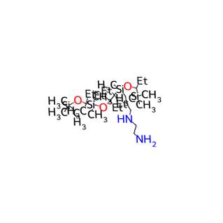 CCC(O[Si](C)(CCCNCCN)C(CC)(CC)C(CC)(CC)O[Si](C)(C)C(C)(CC)O[Si](C)(C)C)[Si](C)(C)C